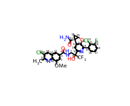 COc1cc(C(=O)NCC(O)(c2cc3c(c(-c4cccc(F)c4Cl)n2)OC2C[C@@]32C(N)=O)C(F)(F)F)cc2cc(Cl)c(C)nc12